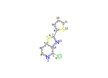 Clc1nccc2sc(-c3cccs3)nc12